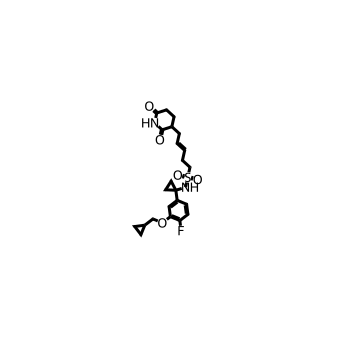 O=C1CCC(CC=CCCS(=O)(=O)NC2(c3ccc(F)c(OCC4CC4)c3)CC2)C(=O)N1